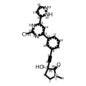 CN1CC[C@@](O)(C#Cc2cccc(-c3cc(-c4ccn[nH]4)nc(Cl)n3)c2)C1=O